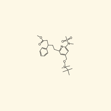 COC(=O)CC(CCc1cc(CO[Si](C)(C)C(C)(C)C)cc(N(C)S(C)(=O)=O)n1)c1ccccc1